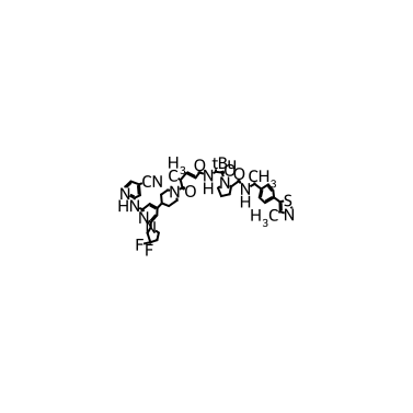 Cc1ncsc1-c1ccc(C(C)NC(=O)C2CCCN2C(=O)C(NC(=O)/C=C/C(C)C(=O)N2CCC(c3cc(Nc4cc(C#N)ccn4)nc(N4CCC(F)(F)C4)c3)CC2)C(C)(C)C)cc1